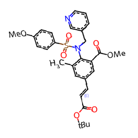 COC(=O)c1cc(/C=C/C(=O)OC(C)(C)C)cc(C)c1N(Cc1cccnc1)S(=O)(=O)c1ccc(OC)cc1